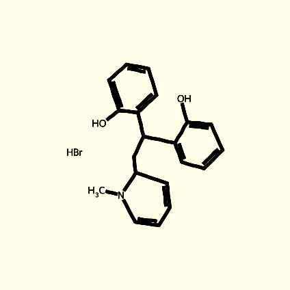 Br.CN1C=CC=CC1CC(c1ccccc1O)c1ccccc1O